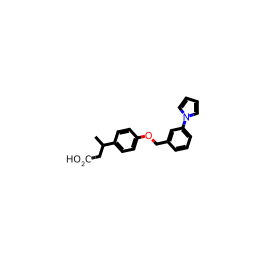 CC(CC(=O)O)c1ccc(OCc2cccc(-n3cccc3)c2)cc1